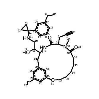 C#CCC1C(=O)NC(C(O)CNC2(c3cccc(CC)c3)CC2)Cc2cc(F)cc(c2)OCCCCCC(=O)N1C